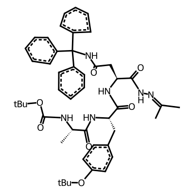 CC(C)=NNC(=O)[C@H](CC(=O)NC(c1ccccc1)(c1ccccc1)c1ccccc1)NC(=O)[C@H](Cc1ccc(OC(C)(C)C)cc1)NC(=O)[C@H](C)NC(=O)OC(C)(C)C